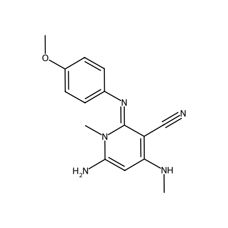 CNc1cc(N)n(C)c(=Nc2ccc(OC)cc2)c1C#N